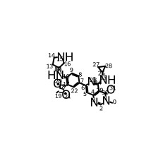 Cn1cnc2cc(-c3ccc(N[C@@H]4CCNC4)c(S(C)(=O)=O)c3)nc(NC3CC3)c2c1=O